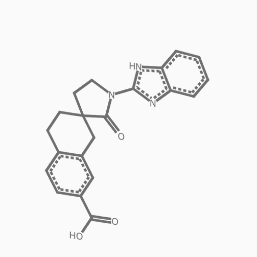 O=C(O)c1ccc2c(c1)CC1(CC2)CCN(c2nc3ccccc3[nH]2)C1=O